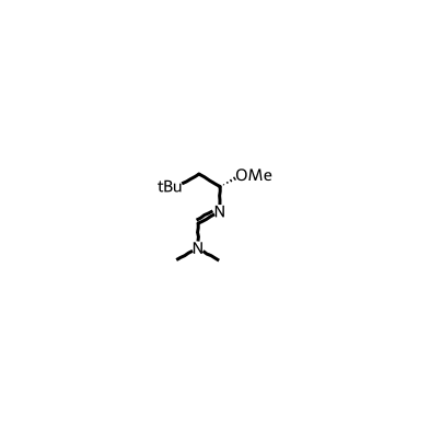 CO[C@@H](CC(C)(C)C)N=CN(C)C